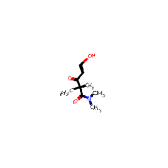 CN(C)C(=O)C(C)(C)C(=O)CCO